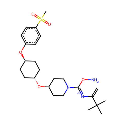 C=C(/N=C(\ON)N1CCC(O[C@H]2CC[C@H](Oc3ccc(S(C)(=O)=O)cc3)CC2)CC1)C(C)(C)C